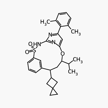 Cc1cccc(C)c1-c1cc2nc(n1)NS(=O)(=O)c1cccc(c1)C(C1CC3(CC3)C1)CC(C(C)C)O2